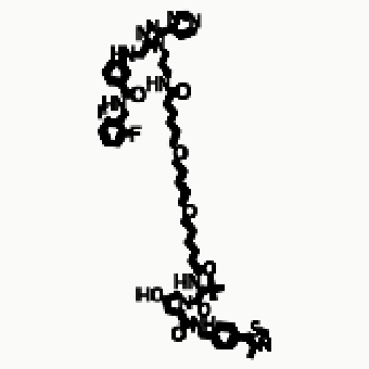 Cc1ncsc1-c1ccc(CNC(=O)C2C[C@@H](O)CN2C(=O)[C@@H](NC(=O)CCCCCOCCCCCOCCCCCC(=O)NCCCn2c(CNc3cccc(C(=O)NCc4c(F)cccc4F)c3)nnc2-c2ccncn2)C(C)(C)C)cc1